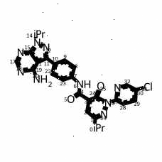 CC(C)c1cc(C(=O)Nc2ccc(-c3nn(C(C)C)c4ncnc(N)c34)cc2)c(=O)n(-c2ccc(Cl)cn2)n1